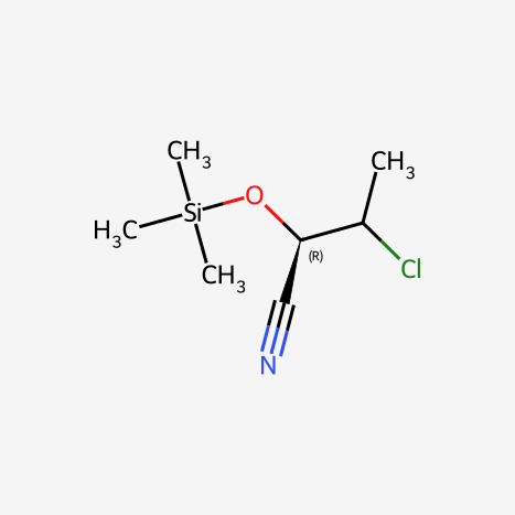 CC(Cl)[C@@H](C#N)O[Si](C)(C)C